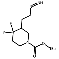 CC(C)(C)OC(=O)N1CCC(F)(F)C(CCN=N)C1